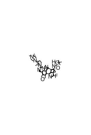 C[C@H]1CN([C@H]2CCN(c3ncc4c5c(c(-c6ncc(F)c7sc(NC(=O)OC(C)(C)C)c(C#N)c67)c(F)c4n3)COC5)[C@H]2C)CCN1C